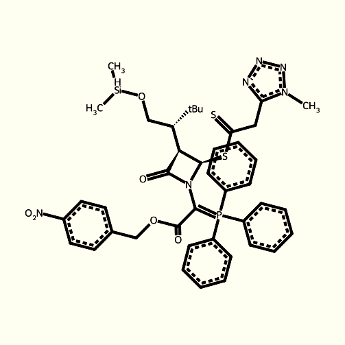 Cn1nnnc1CC(=S)S[C@@H]1[C@H]([C@H](CO[SiH](C)C)C(C)(C)C)C(=O)N1C(C(=O)OCc1ccc([N+](=O)[O-])cc1)=P(c1ccccc1)(c1ccccc1)c1ccccc1